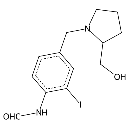 O=CNc1ccc(CN2CCCC2CO)cc1I